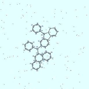 C1=CCC2C(=C1)c1ccc(N(c3ccccc3)c3cc4ccccc4c4ccccc34)cc1N2c1ccccc1